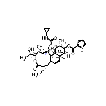 CO[C@H]1CC2C=C[C@H]3[C@H]4O[C@]2(/C(C)=C/[C@@H](C)[C@@H]([C@@H](C)O)OC1=O)[C@@H]3[C@H](OC(=O)NC1CC1)[C@@H](C)[C@H]4OC(=O)c1ccc[nH]1